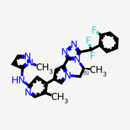 Cc1cnc(Nc2ccnn2C)cc1-c1cc2n(c1)C[C@H](C)n1c-2nnc1C(F)(F)c1ccccc1F